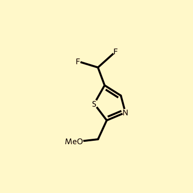 COCc1ncc(C(F)F)s1